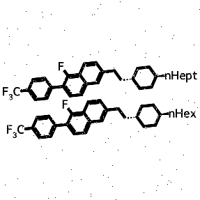 CCCCCCC[C@H]1CC[C@H](CCc2ccc3c(F)c(-c4ccc(C(F)(F)F)cc4)ccc3c2)CC1.CCCCCC[C@H]1CC[C@H](CCc2ccc3c(F)c(-c4ccc(C(F)(F)F)cc4)ccc3c2)CC1